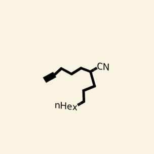 C#CCCCC(C#N)CCCCCCCCC